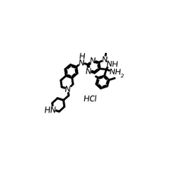 Cc1cccc(C)c1C1(N)NN(C)c2nc(Nc3ccc4c(c3)CN(CC3CCNCC3)CC4)ncc21.Cl